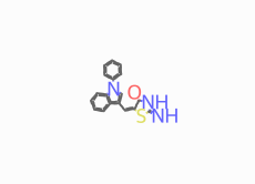 N=C1NC(=O)C(=Cc2cn(-c3ccccc3)c3ccccc23)S1